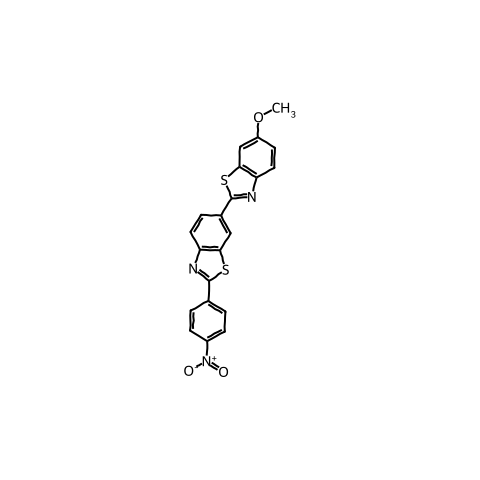 COc1ccc2nc(-c3ccc4nc(-c5ccc([N+](=O)[O-])cc5)sc4c3)sc2c1